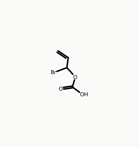 C=CC(Br)OC(=O)O